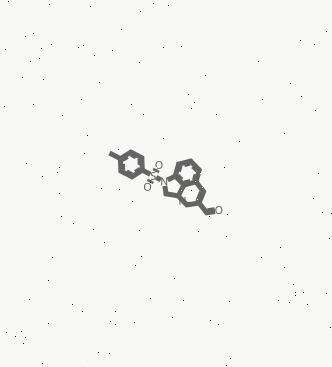 Cc1ccc(S(=O)(=O)N2C[C@@H]3CC(C=O)=Cc4cccc2c43)cc1